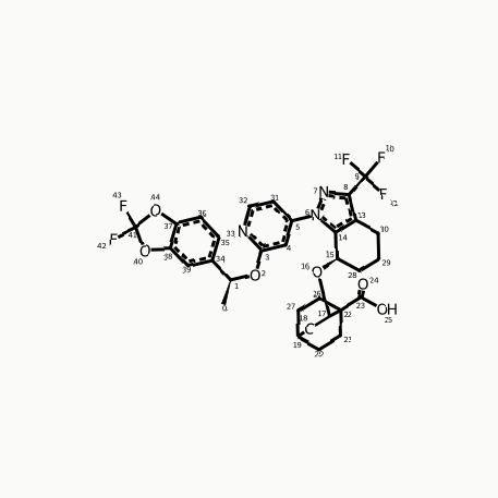 C[C@H](Oc1cc(-n2nc(C(F)(F)F)c3c2[C@H](OC2CC4CCC2(C(=O)O)CC4)CCC3)ccn1)c1ccc2c(c1)OC(F)(F)O2